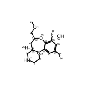 COC[C@@H]1C[C@@H]2CNCCN2c2cc(F)cc(F)c2O1.Cl